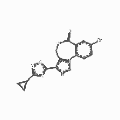 O=C1NCc2c(-c3nc(C4CC4)no3)ncn2-c2ccc(Br)cc21